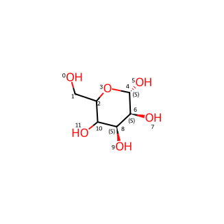 OCC1O[C@H](O)[C@@H](O)[C@@H](O)C1O